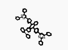 c1ccc(-c2cc(-c3ccc(-c4c5ccccc5c(-c5ccc(-c6cc(-c7ccccc7)nc(-c7ccccc7)n6)cc5)c5cc(-c6ccccc6-c6ccccc6)ccc45)cc3)nc(-c3ccccc3)n2)cc1